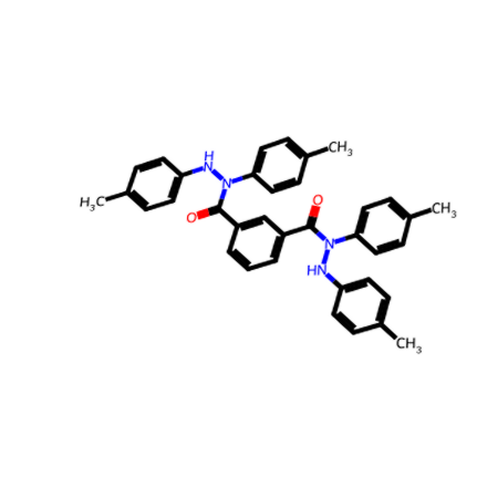 Cc1ccc(NN(C(=O)c2cccc(C(=O)N(Nc3ccc(C)cc3)c3ccc(C)cc3)c2)c2ccc(C)cc2)cc1